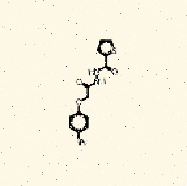 CC(C)c1ccc(OCC(=O)NNC(=O)c2cccs2)cc1